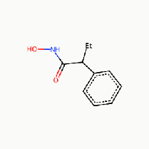 CCC(C(=O)NO)c1ccccc1